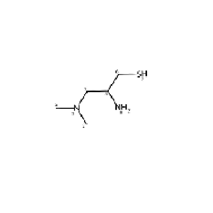 CN(C)CC(N)CS